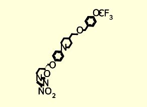 O=[N+]([O-])c1cn2c(n1)O[C@@H](COc1ccc(N3CCC(CCOCc4ccc(OC(F)(F)F)cc4)CC3)cc1)CC2